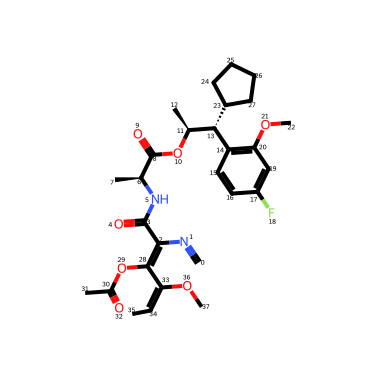 C=N/C(C(=O)N[C@@H](C)C(=O)O[C@@H](C)[C@@H](c1ccc(F)cc1OC)C1CCCC1)=C(OC(C)=O)\C(=C/C)OC